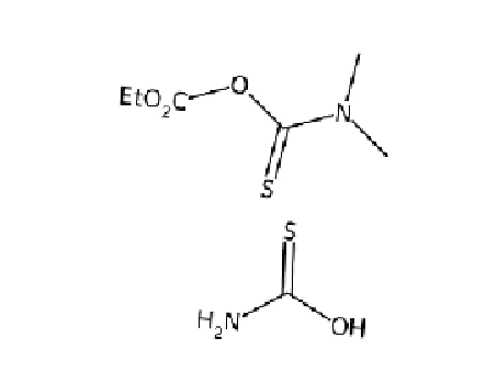 CCOC(=O)OC(=S)N(C)C.NC(O)=S